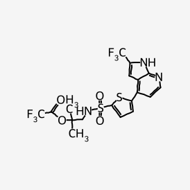 CC(C)(CNS(=O)(=O)c1ccc(-c2ccnc3[nH]c(C(F)(F)F)cc23)s1)OC(=O)C(F)(F)F